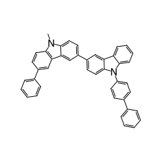 Cn1c2ccc(-c3ccccc3)cc2c2cc(-c3ccc4c(c3)c3ccccc3n4-c3ccc(-c4ccccc4)cc3)ccc21